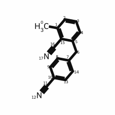 Cc1cccc(Cc2ccc(C#N)cc2)c1C#N